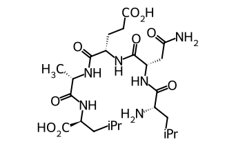 CC(C)C[C@H](NC(=O)[C@H](C)NC(=O)[C@H](CCC(=O)O)NC(=O)[C@H](CC(N)=O)NC(=O)[C@@H](N)CC(C)C)C(=O)O